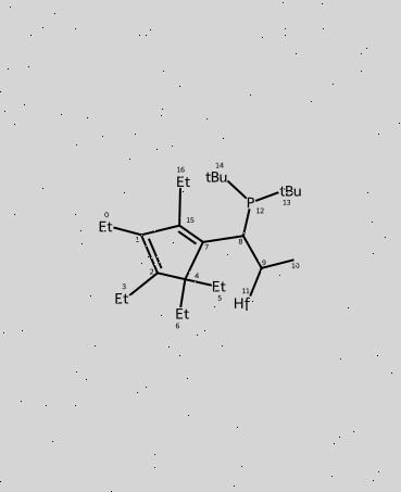 CCC1=C(CC)C(CC)(CC)C(C([CH](C)[Hf])P(C(C)(C)C)C(C)(C)C)=C1CC